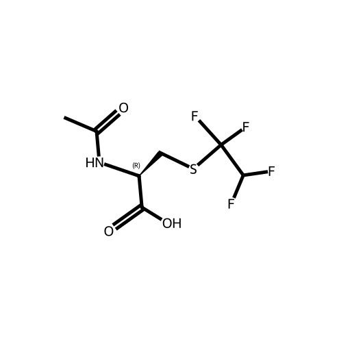 CC(=O)N[C@@H](CSC(F)(F)C(F)F)C(=O)O